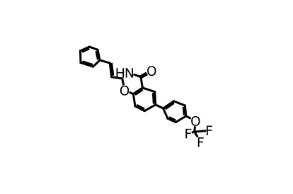 O=C1NC(C=Cc2ccccc2)Oc2ccc(-c3ccc(OC(F)(F)F)cc3)cc21